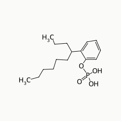 CCCCCCC(CCC)c1ccccc1OP(=O)(O)O